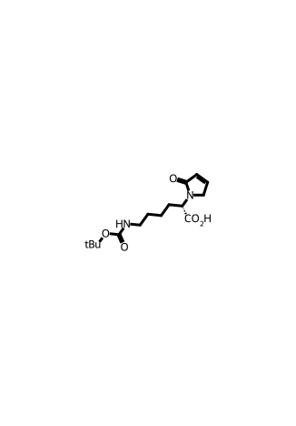 CC(C)(C)OC(=O)NCCCC[C@@H](C(=O)O)N1CC=CC1=O